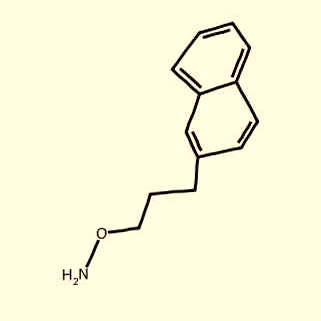 NOCCCc1ccc2ccccc2c1